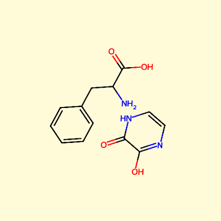 NC(Cc1ccccc1)C(=O)O.O=c1[nH]ccnc1O